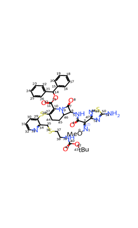 CO/N=C(\C(=O)NC1C(=O)N2C(C(=O)OC(c3ccccc3)c3ccccc3)=C(Sc3cccnc3CSCCNC(=O)OC(C)(C)C)CCC12)c1nsc(N)n1